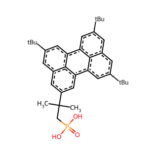 CC(C)(C)c1cc2cc(C(C)(C)C)cc3c4cc(C(C)(C)CP(=O)(O)O)cc5cc(C(C)(C)C)cc(c(c1)c23)c54